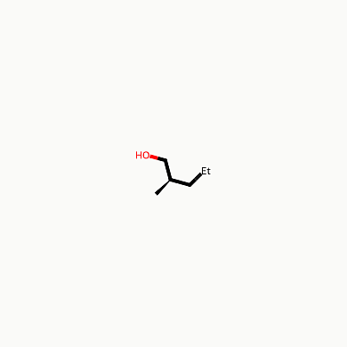 CCC[C@@H](C)CO